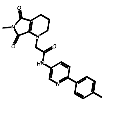 Cc1ccc(-c2ccc(NC(=O)CN3CCCC4=C3C(=O)N(C)C4=O)cn2)cc1